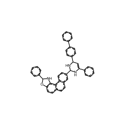 C1=C(c2ccccc2)NC(c2ccc3c(ccc4ccc5c(c43)NC(c3ccccc3)O5)c2)NC1c1ccc(-c2ccccc2)cc1